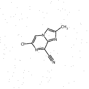 Cc1cn2cc(Cl)nc(C#N)c2n1